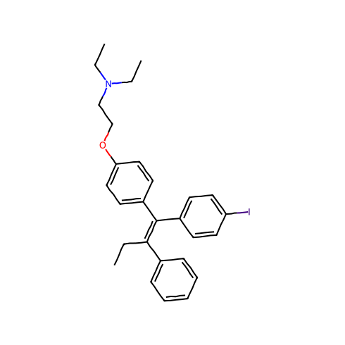 CCC(=C(c1ccc(I)cc1)c1ccc(OCCN(CC)CC)cc1)c1ccccc1